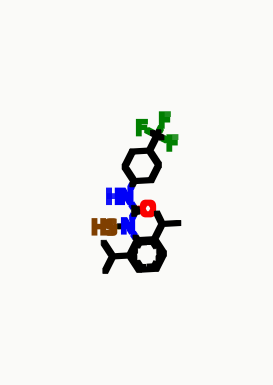 CC(C)c1cccc(C(C)C)c1N(S)C(=O)NC1CCC(C(F)(F)F)CC1